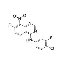 O=[N+]([O-])c1c(F)ccc2c(Nc3ccc(Cl)c(F)c3)ncnc12